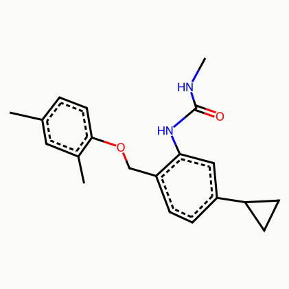 CNC(=O)Nc1cc(C2CC2)ccc1COc1ccc(C)cc1C